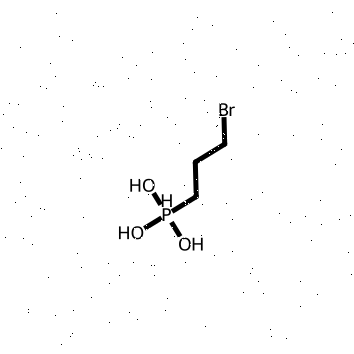 O[PH](O)(O)CCCBr